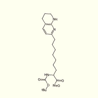 COC(=O)C(CCCCCCCc1ccc2c(n1)NCCC2)NC(=O)OC(C)(C)C